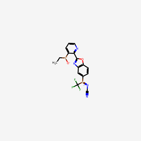 CC[S+]([O-])c1cccnc1-c1nc2cc(/S(=N/C#N)C(F)(F)F)ccc2o1